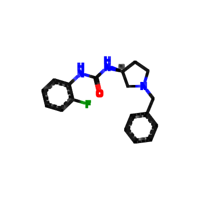 O=C(Nc1ccccc1F)N[C@H]1CCN(Cc2ccccc2)C1